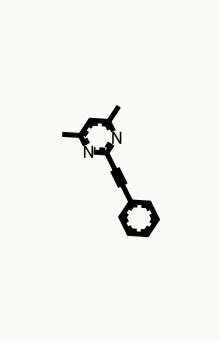 Cc1cc(C)nc(C#Cc2ccccc2)n1